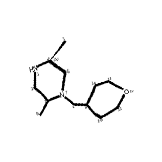 CC1CN[C@@H](C)CN1CC1CCOCC1